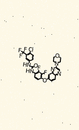 O=C(Nc1ccc(Cl)c(C(F)(F)F)c1)Nc1ccc(Oc2ccc3ncc(N4CCOCC4)nc3c2)c(F)c1F